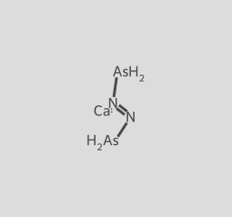 [AsH2]N=N[AsH2].[Ca]